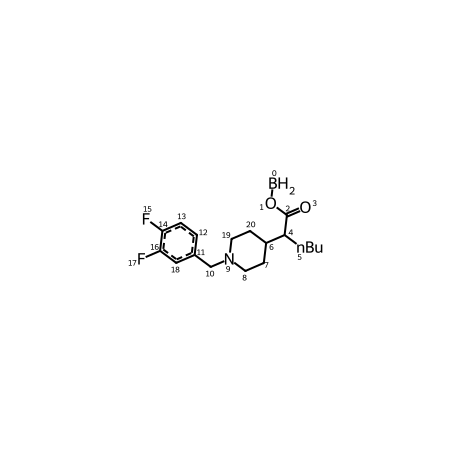 BOC(=O)C(CCCC)C1CCN(Cc2ccc(F)c(F)c2)CC1